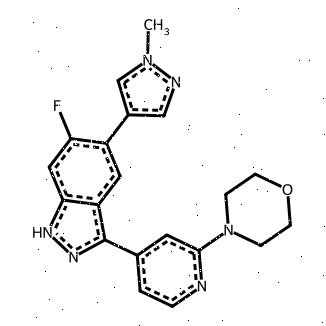 Cn1cc(-c2cc3c(-c4ccnc(N5CCOCC5)c4)n[nH]c3cc2F)cn1